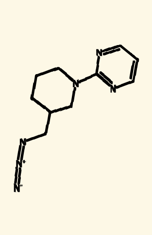 [N-]=[N+]=NCC1CCCN(c2ncccn2)C1